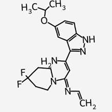 C=C/N=C(\C=C(/N)c1n[nH]c2ccc(OC(C)C)cc12)N1CCC(F)(F)CC1